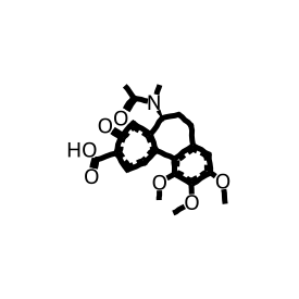 COc1cc2c(c(OC)c1OC)-c1ccc(C(=O)O)c(=O)cc1[C@@H](N(C)C(C)=O)CC2